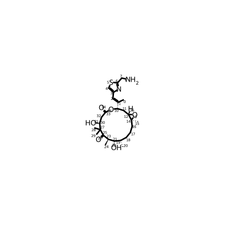 CC(=Cc1csc(CN)n1)[C@@H]1C[C@@H]2O[C@@]2(C)CCC[C@H](C)[C@H](O)[C@@H](C)C(=O)C(C)(C)[C@@H](O)CC(=O)O1